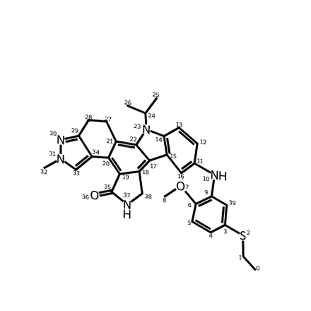 CCSc1ccc(OC)c(Nc2ccc3c(c2)c2c4c(c5c(c2n3C(C)C)CCc2nn(C)cc2-5)C(=O)NC4)c1